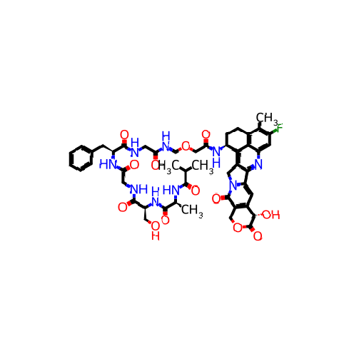 Cc1c(F)cc2nc3c(c4c2c1CC[C@@H]4NC(=O)COCNC(=O)CNC(=O)[C@H](Cc1ccccc1)NC(=O)CNC(=O)[C@H](CO)NC(=O)[C@H](C)NC(=O)C(C)C)Cn1c-3cc2c(c1=O)COC(=O)[C@H]2O